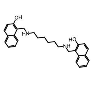 Oc1ccc2ccccc2c1CNCCCCCCNCc1c(O)ccc2ccccc12